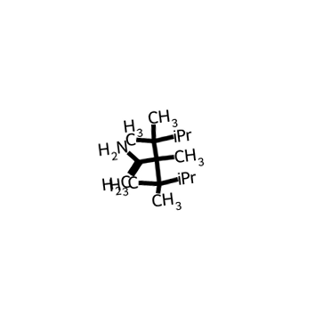 C=C(N)C(C)(C(C)(C)C(C)C)C(C)(C)C(C)C